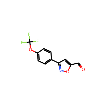 O=Cc1cc(-c2ccc(OC(F)(F)F)cc2)no1